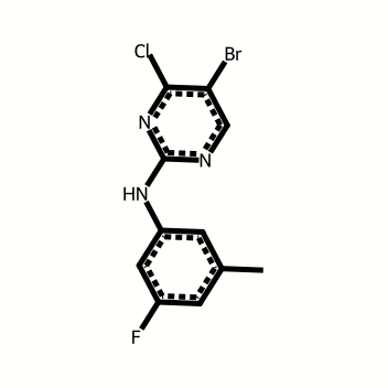 Cc1cc(F)cc(Nc2ncc(Br)c(Cl)n2)c1